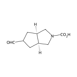 O=CC1C[C@@H]2CN(C(=O)O)C[C@@H]2C1